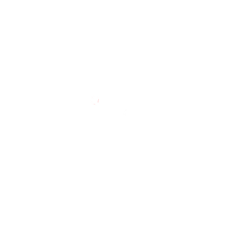 C=CC(=C)CC(=O)C=C(C)C